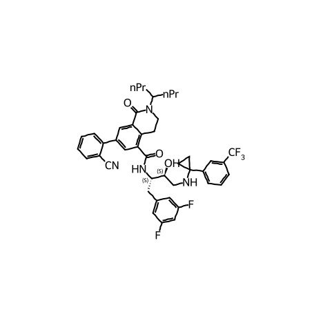 CCCC(CCC)N1CCc2c(C(=O)N[C@@H](Cc3cc(F)cc(F)c3)[C@@H](O)CNC3(c4cccc(C(F)(F)F)c4)CC3)cc(-c3ccccc3C#N)cc2C1=O